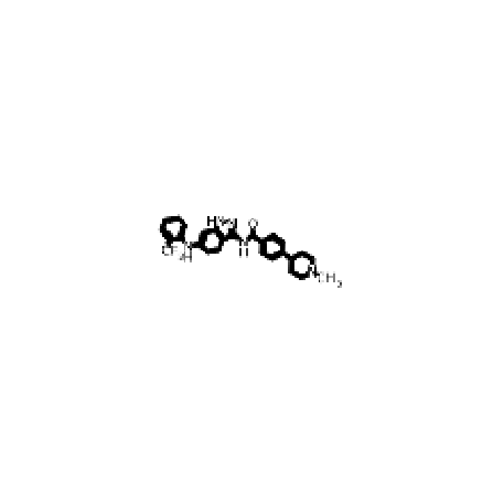 CN1CCC(c2ccc(C(=O)Nc3n[nH]c4cc(Nc5ccccc5C(F)(F)F)ccc34)cc2)CC1